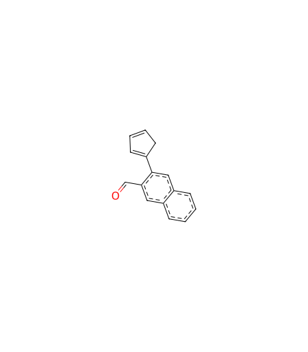 O=Cc1cc2ccccc2cc1C1=CC=CC1